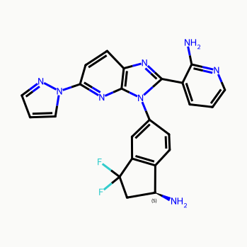 Nc1ncccc1-c1nc2ccc(-n3cccn3)nc2n1-c1ccc2c(c1)C(F)(F)C[C@@H]2N